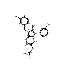 COc1cccc(-n2c(=O)n(Cc3cccc(F)c3)c3cnc(NC4CC4)nc32)c1